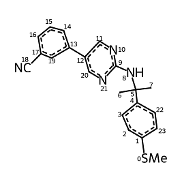 CSc1ccc(C(C)(C)Nc2ncc(-c3cccc(C#N)c3)cn2)cc1